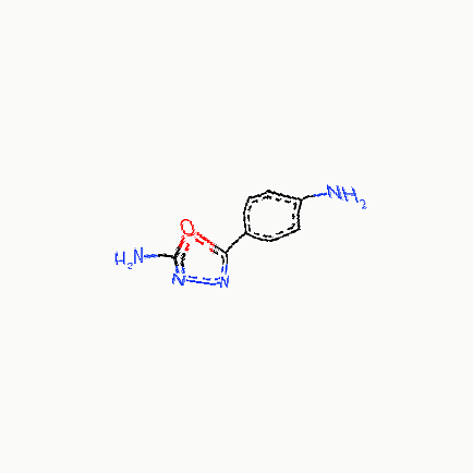 Nc1ccc(-c2nnc(N)o2)cc1